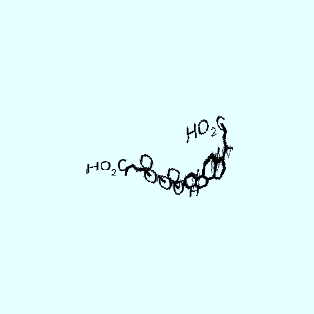 CC(CCC(=O)OCOC(=O)O[C@@H]1CC[C@]2(C)C3CC[C@@]4(C)C(CCC4[C@H](C)CCC(=O)O)C3CC[C@@H]2C1)C(=O)O